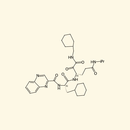 CC(C)NC(=O)CC[C@H](NC(=O)[C@H](CC1CCCCC1)NC(=O)c1cnc2ccccc2n1)C(=O)C(=O)NCC1CCCCC1